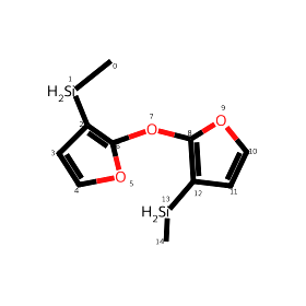 C[SiH2]c1ccoc1Oc1occc1[SiH2]C